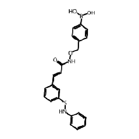 O=C(/C=C/c1cccc(SNc2ccccc2)c1)NOCc1ccc(B(O)O)cc1